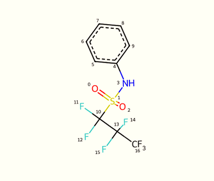 O=S(=O)(Nc1ccccc1)C(F)(F)C(F)(F)C(F)(F)F